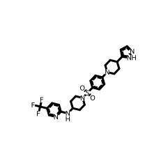 O=S(=O)(c1ccc(N2CCC(c3ccn[nH]3)CC2)cc1)N1CCC(Nc2ccc(C(F)(F)F)cn2)CC1